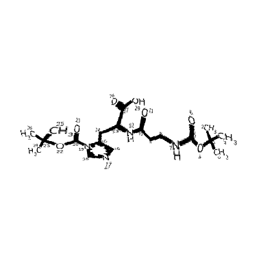 CC(C)(C)OC(=O)NCCC(=O)NC(Cc1cncn1C(=O)OC(C)(C)C)C(=O)O